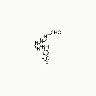 O=CC=CN1CCN(c2nccnc2Nc2ccc(OC(F)F)cc2)CC1